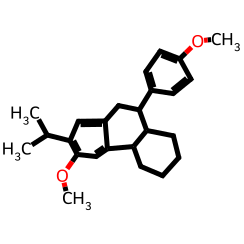 COc1ccc(C2Cc3cc(C(C)C)c(OC)cc3C3CCCCC23)cc1